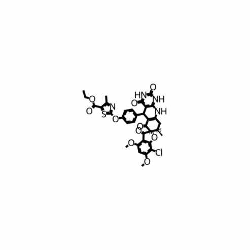 CCOC(=O)c1sc(Oc2ccc(C3C4=C(C[C@@H](C)[C@]5(Oc6c(Cl)c(OC)cc(OC)c6C5=O)C4=O)Nc4[nH]c(=O)[nH]c(=O)c43)cc2)nc1C